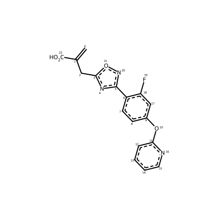 C=C(Cc1nc(-c2ccc(Oc3ccccn3)cc2F)no1)C(=O)O